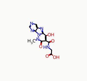 Cn1c(=O)c(C(=O)NCC(=O)O)c(O)c2nc3cncnc3n21